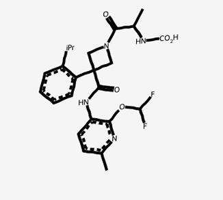 Cc1ccc(NC(=O)C2(c3ccccc3C(C)C)CN(C(=O)C(C)NC(=O)O)C2)c(OC(F)F)n1